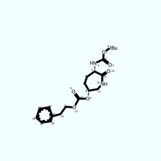 CC(C)(C)OC(=O)N[C@H]1CC[C@@H](OC(=O)OCCc2ccccc2)CNC1=O